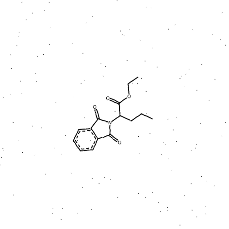 CCCC(C(=O)OCC)N1C(=O)c2ccccc2C1=O